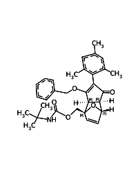 Cc1cc(C)c(C2=C(OCc3ccccc3)[C@H]3[C@@H](C2=O)[C@@H]2C=C[C@@]3(COC(=O)NC(C)(C)C)O2)c(C)c1